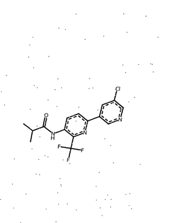 CC(C)C(=O)Nc1ccc(-c2cncc(Cl)c2)nc1C(F)(F)F